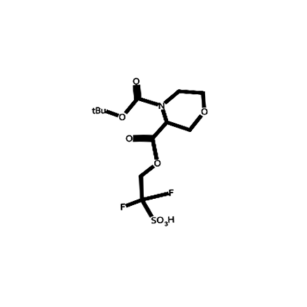 CC(C)(C)OC(=O)N1CCOCC1C(=O)OCC(F)(F)S(=O)(=O)O